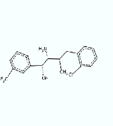 CC(Cc1ccccc1Cl)[C@@H](N)[C@H](O)c1cccc(C(F)(F)F)c1